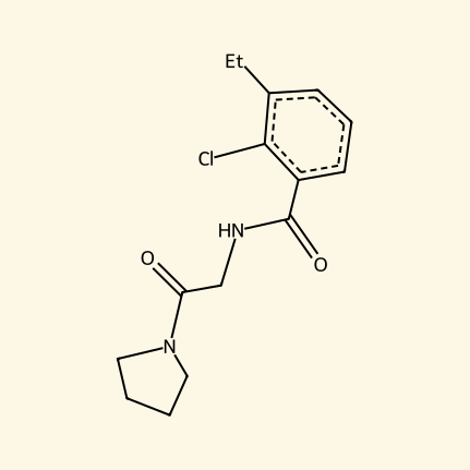 CCc1cccc(C(=O)NCC(=O)N2CCCC2)c1Cl